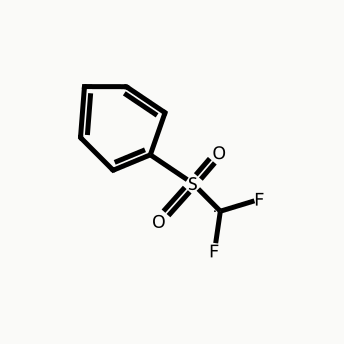 O=S(=O)([C](F)F)c1ccccc1